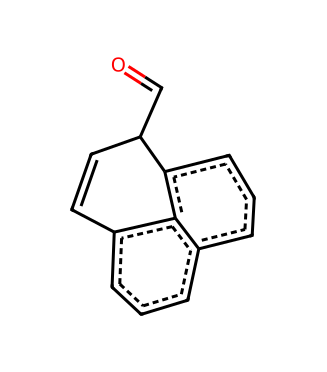 O=CC1C=Cc2cccc3cccc1c23